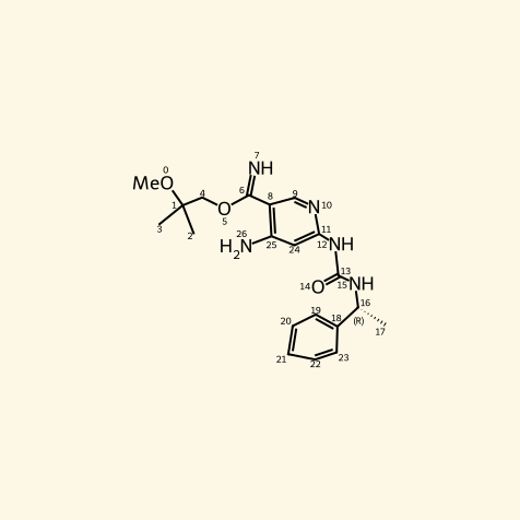 COC(C)(C)COC(=N)c1cnc(NC(=O)N[C@H](C)c2ccccc2)cc1N